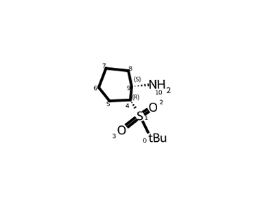 CC(C)(C)S(=O)(=O)[C@@H]1CCCC[C@@H]1N